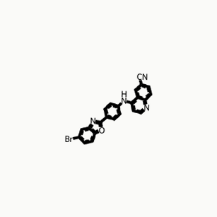 N#Cc1ccc2nccc(Nc3ccc(-c4nc5cc(Br)ccc5o4)cc3)c2c1